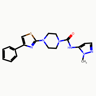 Cn1nccc1NC(=O)N1CCN(c2nc(-c3ccccc3)cs2)CC1